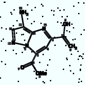 C=C(O)c1cc(C(=O)OC)n2ncc(N)c2n1